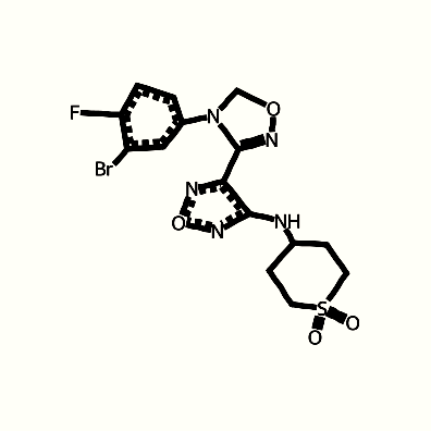 O=S1(=O)CCC(Nc2nonc2C2=NOCN2c2ccc(F)c(Br)c2)CC1